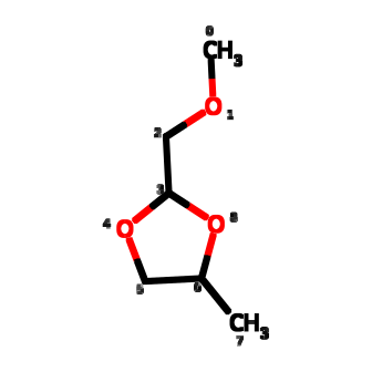 COCC1OCC(C)O1